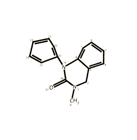 CN1Cc2ccccc2N(c2ccccc2)C1=O